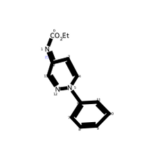 CCOC(=O)/N=c1\ccn(-c2ccccc2)nc1